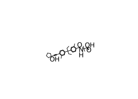 CCC(CC)(c1ccc(C#CC2(O)CCCC2)c(C)c1)c1ccc(C(=O)NC(C)(C)C(=O)O)c(C)c1